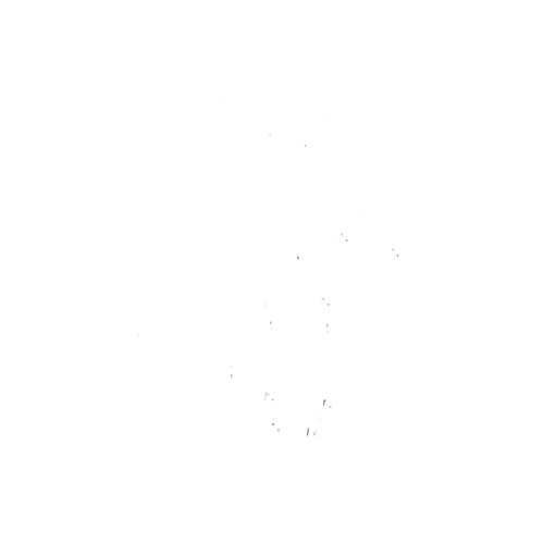 O=C(O)C=Cc1cccc(-c2cnc(C3CCc4cc(-c5cc(Cl)ccc5-n5cnnn5)cc(=O)n43)[nH]2)c1